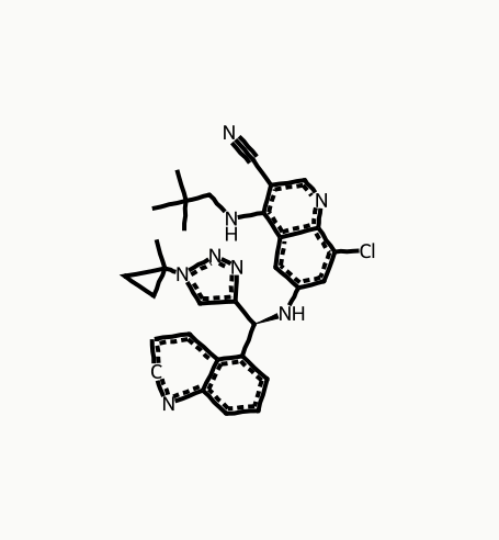 CC(C)(C)CNc1c(C#N)cnc2c(Cl)cc(N[C@H](c3cn(C4(C)CC4)nn3)c3cccc4ncccc34)cc12